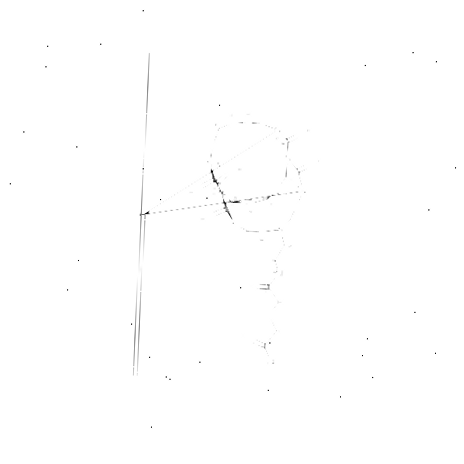 BC(=O)COCC(=O)NCCN1CCn2c(=O)n3c(=O)n(c2=O)CCCCCn2c(=O)n(c(=O)n(c2=O)CC1)CCCCC3